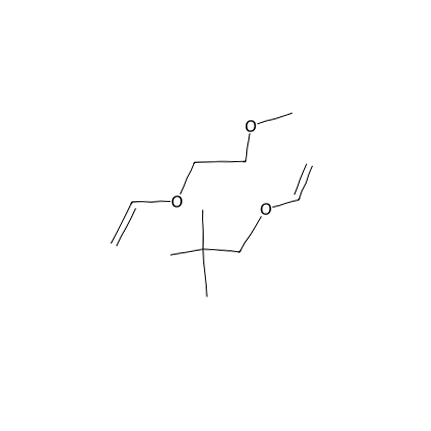 C=COCC(C)(C)C.C=COCCOC